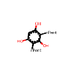 CCCCCc1c(O)cc(O)c(CCCCC)c1O